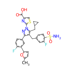 Cc1ccc(-c2cc(-c3nn(-c4nc(C(=O)O)cs4)c(CC4CC4)c3Cc3ccc(S(N)(=O)=O)c(F)c3)ccc2F)o1